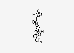 O=C1N[C@H](CCC(=O)N2CC3(CC(NS(=O)(=O)c4cccc(C(F)(F)F)c4)C3)C2)CO1